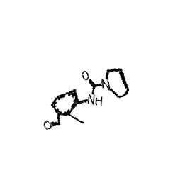 Cc1c(C=O)cccc1NC(=O)N1CC=CC1